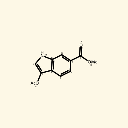 COC(=O)c1ccc2c(OC(C)=O)c[nH]c2c1